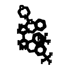 FC(F)(F)c1cc(Cn2nnc(-c3nnc(CN4CCOCC4)n3Cc3ccccc3Cl)c2-c2ccccc2)cc(C(F)(F)F)c1